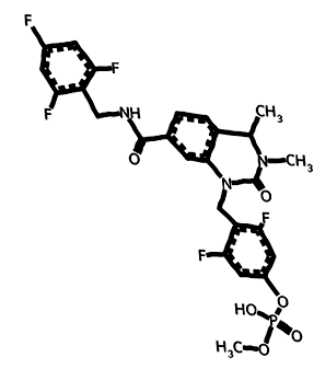 COP(=O)(O)Oc1cc(F)c(CN2C(=O)N(C)C(C)c3ccc(C(=O)NCc4c(F)cc(F)cc4F)cc32)c(F)c1